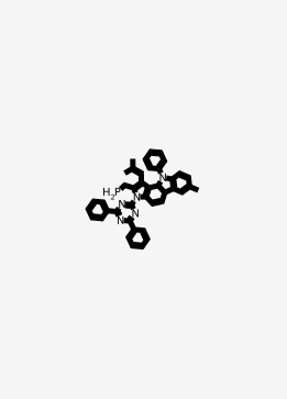 CC(C)=Cc1c2c(n(-c3nc(-c4ccccc4)nc(-c4ccccc4)n3)c1CP)C=CC1c3cc(C)ccc3N(c3ccccc3)C21